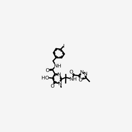 Cc1nnc(C(=O)NC(C)(C)c2nc(C(=O)NCc3ccc(I)cc3)c(O)c(=O)n2C)o1